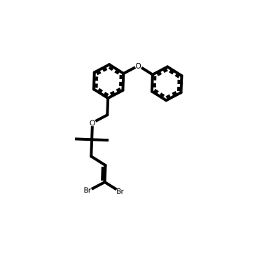 CC(C)(CC=C(Br)Br)OCc1cccc(Oc2ccccc2)c1